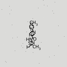 Cc1nc(NC(=O)c2cnc(N3CCN(C)CC3)cn2)sc1CI